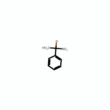 O=C(O)C(Br)(c1ccccc1)[N+](=O)[O-]